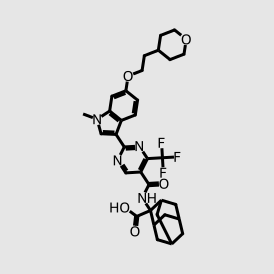 Cn1cc(-c2ncc(C(=O)NC3(C(=O)O)C4CC5CC(C4)CC3C5)c(C(F)(F)F)n2)c2ccc(OCCC3CCOCC3)cc21